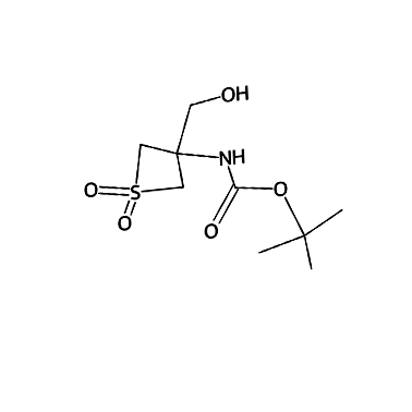 CC(C)(C)OC(=O)NC1(CO)CS(=O)(=O)C1